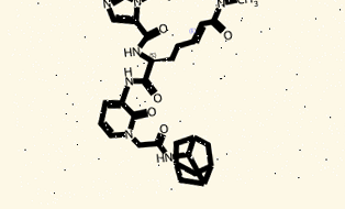 CN(C)C(=O)/C=C/CC[C@H](NC(=O)c1cncn1C)C(=O)Nc1cccn(CC(=O)NC2C3CC4CC(C3)C2C4)c1=O